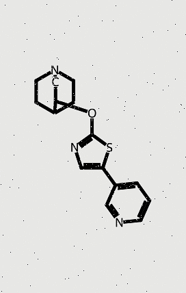 c1cncc(-c2cnc(OC3CN4CCC3CC4)s2)c1